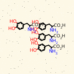 NC(Cc1ccc(O)c(O)c1)C(=O)O.NC(Cc1ccc(O)c(O)c1)C(=O)O.NC(Cc1ccc(O)c(O)c1)C(=O)O.NC(Cc1ccc(O)c(O)c1)C(=O)O